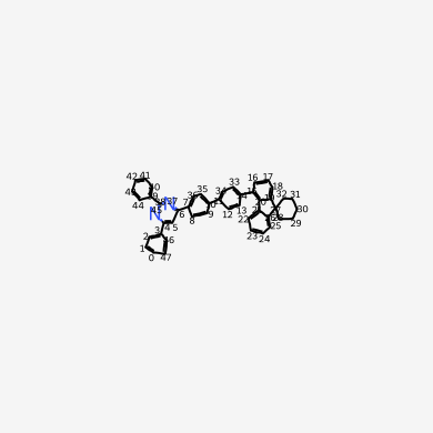 c1ccc(-c2cc(-c3ccc(-c4ccc(-c5cccc6c5-c5ccccc5C65CCCCC5)cc4)cc3)nc(-c3ccccc3)n2)cc1